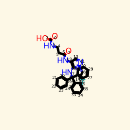 O=C(O)NCCC(=O)Nc1cnn(CCF)c1NC(c1ccccc1)(c1ccccc1)c1ccccc1